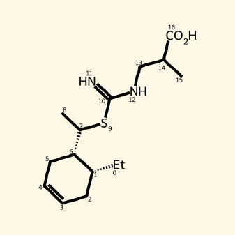 CC[C@@H]1CC=CC[C@@H]1C(C)SC(=N)NCC(C)C(=O)O